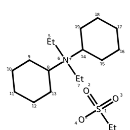 CCS(=O)(=O)[O-].CC[N+](CC)(C1CCCCC1)C1CCCCC1